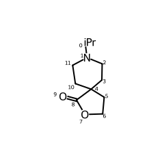 CC(C)N1CCC2(CCOC2=O)CC1